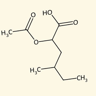 CCC(C)CC(OC(C)=O)C(=O)O